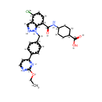 CCOc1nccc(-c2ccc(Cn3ncc4c(Cl)ccc(C(=O)NC5CCC(C(=O)O)CC5)c43)cc2)n1